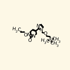 C=CCON1C(=O)N2CC(c3nccn3COCC[Si](C)(C)C)=CC1C2